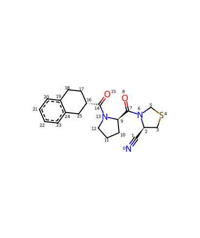 N#C[C@@H]1CSCN1C(=O)[C@H]1CCCN1C(=O)[C@H]1CCc2ccccc2C1